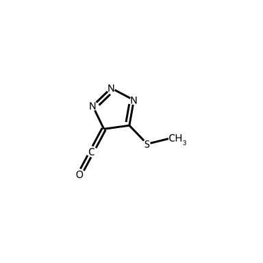 CSC1=NN=NC1=C=O